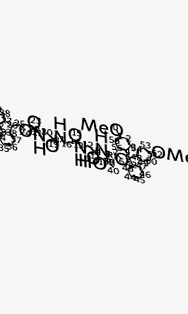 COc1ccc(C(OC[C@@H](NC(=O)CNC(=O)CNC(=O)CNC(=O)OCC2c3ccccc3-c3ccccc32)[C@@H](C)O)(c2ccccc2)c2ccc(OC)cc2)cc1